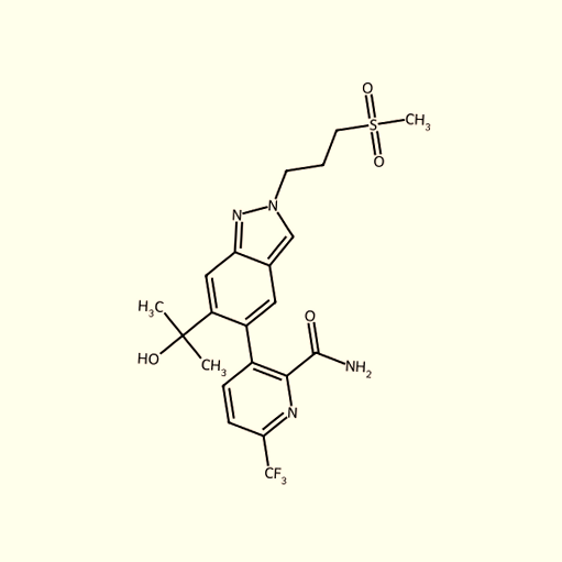 CC(C)(O)c1cc2nn(CCCS(C)(=O)=O)cc2cc1-c1ccc(C(F)(F)F)nc1C(N)=O